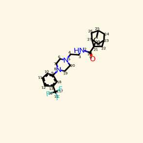 O=C(NCCN1CCN(c2cccc(C(F)(F)F)c2)CC1)C12CC3CC(CC1C3)C2